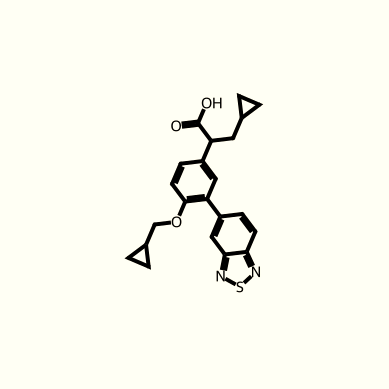 O=C(O)C(CC1CC1)c1ccc(OCC2CC2)c(-c2ccc3nsnc3c2)c1